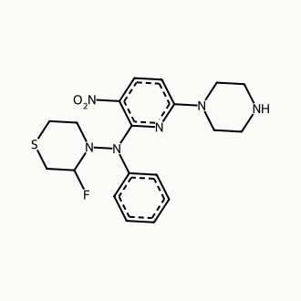 O=[N+]([O-])c1ccc(N2CCNCC2)nc1N(c1ccccc1)N1CCSCC1F